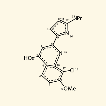 COc1ccc2c(O)cc(-c3csc(C(C)C)n3)nc2c1Cl